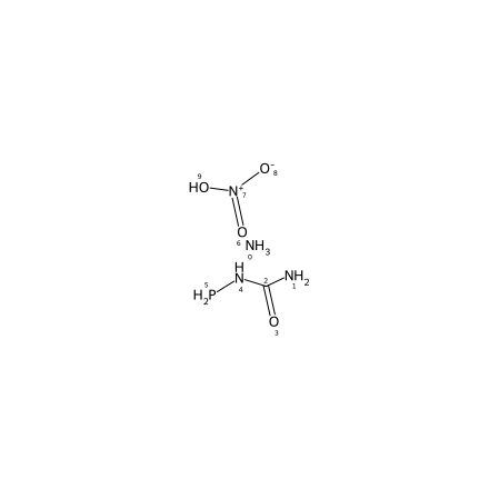 N.NC(=O)NP.O=[N+]([O-])O